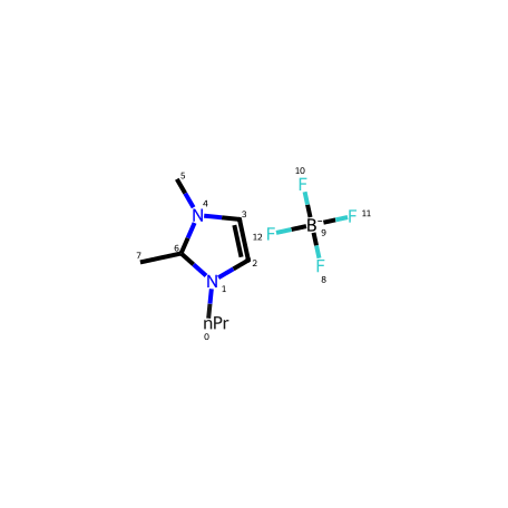 CCCN1C=CN(C)C1C.F[B-](F)(F)F